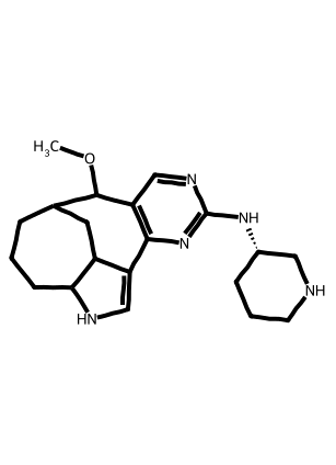 COC1c2cnc(N[C@H]3CCCNC3)nc2C2=CNC3CCCC1CC23